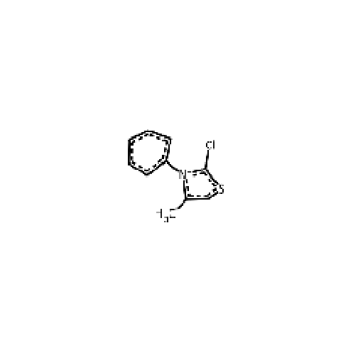 Cc1csc(Cl)[n+]1-c1ccccc1